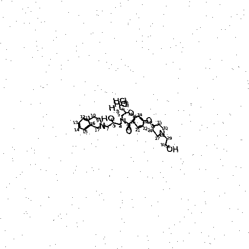 C[C@@H]1CN(CC(O)CN2CCc3ccccc3C2)C(=O)c2ccc(OC3CCN(CCO)CC3)cc2O1.Cl.Cl